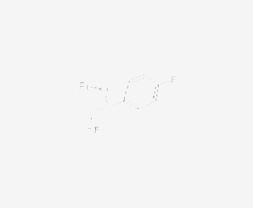 CCO[Si](OCC)(OCC)c1ccc(F)cc1